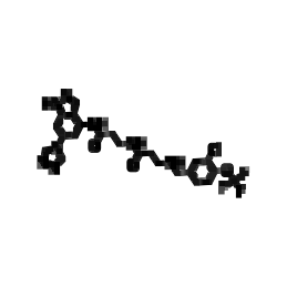 O=C(CCNCc1ccc(OC(F)(F)F)c(Cl)c1)NCCC(=O)Nc1cc(-n2cnnc2)cc2[nH]ncc12